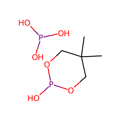 CC1(C)COP(O)OC1.OP(O)O